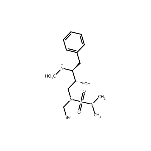 CC(C)CN(C[C@@H](O)[C@H](Cc1ccccc1)NC(=O)O)S(=O)(=O)N(C)C